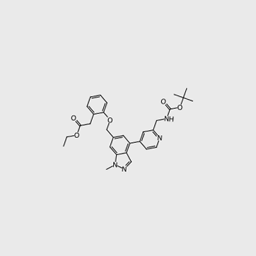 CCOC(=O)Cc1ccccc1OCc1cc(-c2ccnc(CNC(=O)OC(C)(C)C)c2)c2cnn(C)c2c1